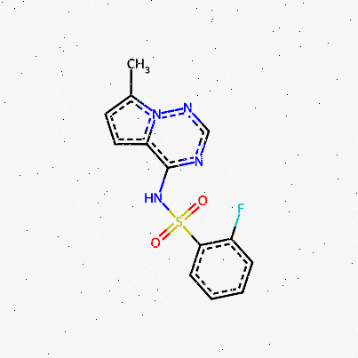 Cc1ccc2c(NS(=O)(=O)c3ccccc3F)ncnn12